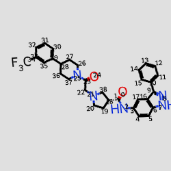 O=C(Nc1ccc2[nH]nc(-c3ccccc3)c2c1)[C@@H]1CCN(CC(=O)N2CCC(c3cccc(C(F)(F)F)c3)CC2)C1